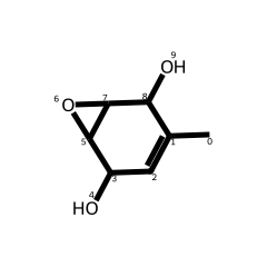 CC1=CC(O)C2OC2C1O